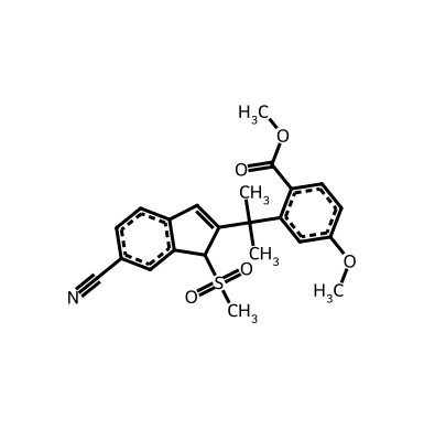 COC(=O)c1ccc(OC)cc1C(C)(C)C1=Cc2ccc(C#N)cc2C1S(C)(=O)=O